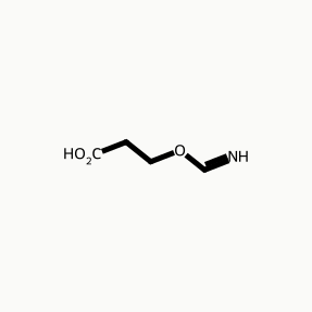 N=COCCC(=O)O